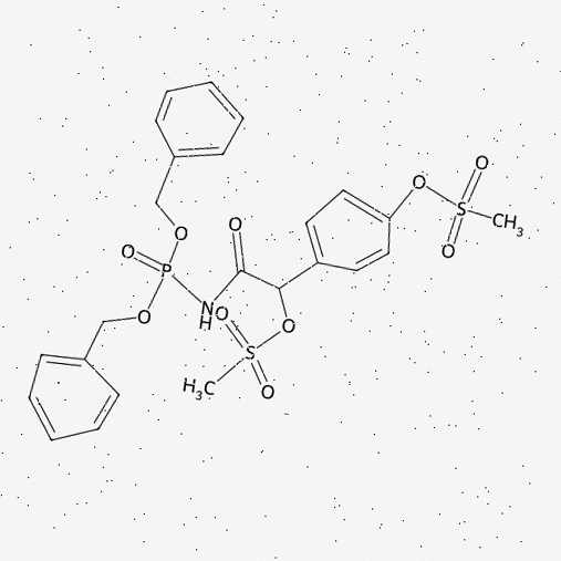 CS(=O)(=O)Oc1ccc(C(OS(C)(=O)=O)C(=O)NP(=O)(OCc2ccccc2)OCc2ccccc2)cc1